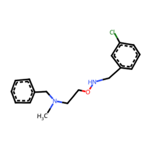 CN(CCONCc1cccc(Cl)c1)Cc1ccccc1